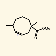 COC(=O)C1(C)C/C=C\C(C)CCC1